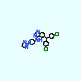 Clc1ccc(C(c2ccc(Cl)cc2)c2ccc3ncnc(NC4CCN(c5ncccn5)CC4)c3c2)cc1